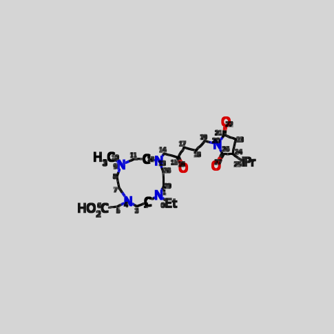 CCN1CCN(CC(=O)O)CCN(C)CCN(CC(=O)CCCN2C(=O)CC(C(C)C)C2=O)CC1